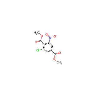 COC(=O)c1cc(Cl)c(C(=O)OC)c([N+](=O)[O-])c1